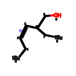 CC(C)(C)C/C=C\C(CO)CC(C)(C)C